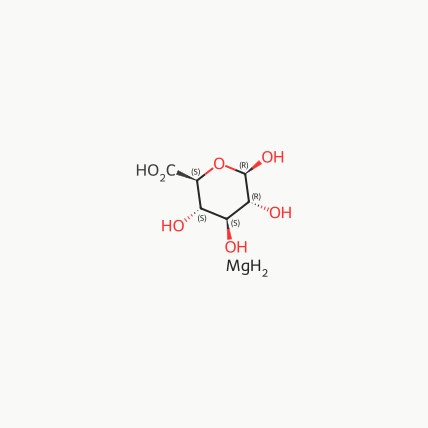 O=C(O)[C@H]1O[C@@H](O)[C@H](O)[C@@H](O)[C@@H]1O.[MgH2]